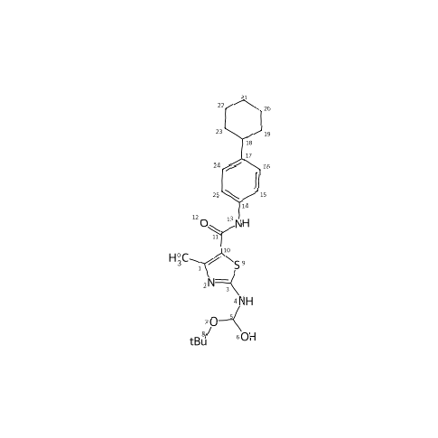 Cc1nc(NC(O)OC(C)(C)C)sc1C(=O)Nc1ccc(C2CCCCC2)cc1